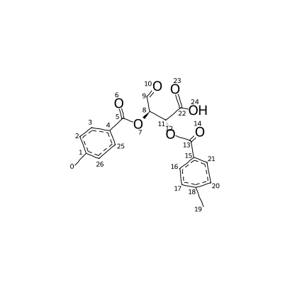 Cc1ccc(C(=O)O[C@@H](C=O)[C@@H](OC(=O)c2ccc(C)cc2)C(=O)O)cc1